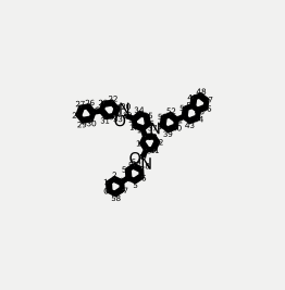 c1ccc(-c2ccc3nc(-c4ccc5c(c4)c4cc(-c6nc7ccc(-c8ccccc8)cc7o6)ccc4n5-c4ccc(-c5ccc6ccccc6c5)cc4)oc3c2)cc1